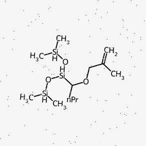 C=C(C)COC(CCC)[SiH](O[SiH](C)C)O[SiH](C)C